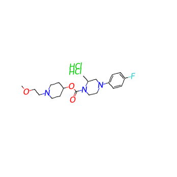 COCCN1CCC(OC(=O)N2CCN(c3ccc(F)cc3)CC2C)CC1.Cl.Cl